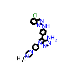 CN1CCN([C@H]2CC[C@H](n3cc(-c4ccc(Nc5ncc6c(Cl)cccc6n5)cc4)c4c(N)ncnc43)CC2)CC1